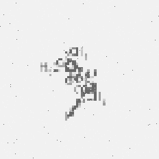 COc1cc(COC(=O)N2CCC(C)(C(=O)SCCCCI)C2)c([N+](=O)[O-])cc1OC